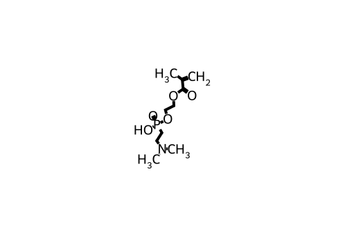 C=C(C)C(=O)OCCOP(=O)(O)CCN(C)C